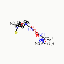 CC1(C)C(/C=C/C2=C(Oc3ccc(S(=O)(=O)O)cc3)C(=C/C=C3/N(CCCCS)c4ccccc4C3(C)C)/CCC2)=[N+](CCCCCC(=O)NCCOCCOCC(=O)NCCCC[C@H](NC(=O)N[C@@H](CCC(=O)O)C(=O)O)C(=O)O)c2ccccc21